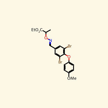 CCOC(=O)C(C)ON=Cc1cc(Br)c(Oc2ccc(OC)cc2)c(Br)c1